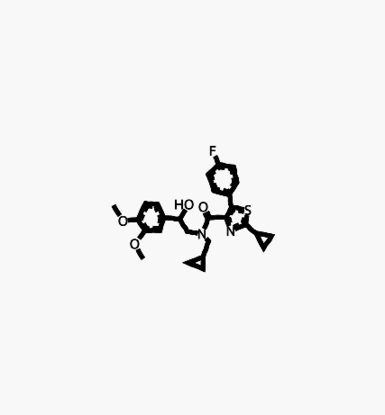 COc1ccc(C(O)CN(CC2CC2)C(=O)c2nc(C3CC3)sc2-c2ccc(F)cc2)cc1OC